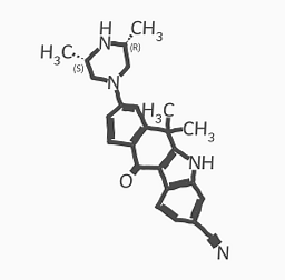 C[C@@H]1CN(c2ccc3c(c2)C(C)(C)c2[nH]c4cc(C#N)ccc4c2C3=O)C[C@H](C)N1